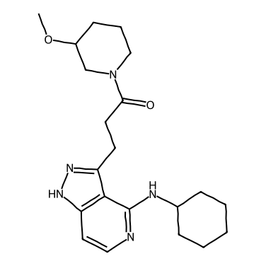 COC1CCCN(C(=O)CCc2n[nH]c3ccnc(NC4CCCCC4)c23)C1